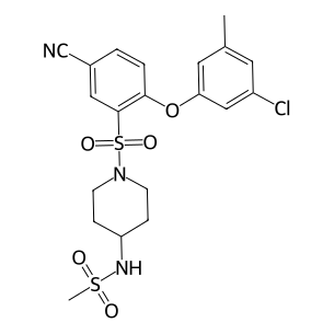 Cc1cc(Cl)cc(Oc2ccc(C#N)cc2S(=O)(=O)N2CCC(NS(C)(=O)=O)CC2)c1